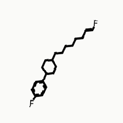 FC=CCCCCCCC1CCC(c2ccc(F)cc2)CC1